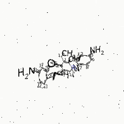 CCC1=C(O)/C(=N\c2ccc(N)cc2)C=C(Nc2ccc(N)cc2)C1=O